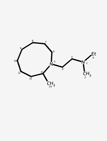 CCN(C)CCN1CCCCCCCC1C